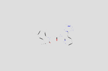 CC1(C)C(=O)N(CC(=O)Nc2ncccc2-c2nnn[nH]2)c2c(O)cc(Br)cc21